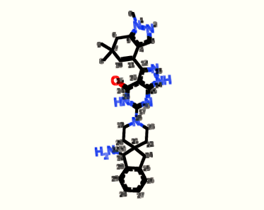 Cn1ncc2c1CC(C)(C)C=C2c1n[nH]c2nc(N3CCC4(CC3)Cc3ccccc3[C@H]4N)[nH]c(=O)c12